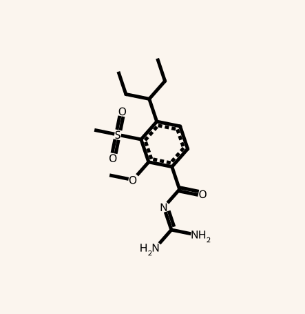 CCC(CC)c1ccc(C(=O)N=C(N)N)c(OC)c1S(C)(=O)=O